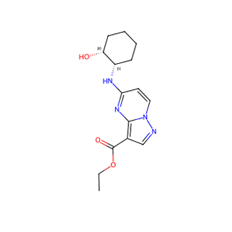 CCOC(=O)c1cnn2ccc(N[C@H]3CCCC[C@H]3O)nc12